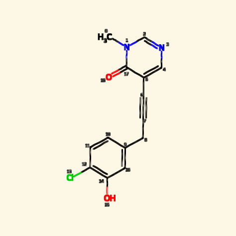 Cn1cncc(C#CCc2ccc(Cl)c(O)c2)c1=O